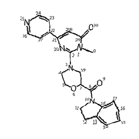 Cn1c(N2CCOC(C(=O)N3CCc4ccccc43)C2)nc(-c2ccncc2)cc1=O